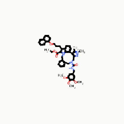 CCOC(=O)c1c(CCCOc2cccc3ccccc23)c2cccc3c2n1Cc1ccccc1CN(C(=O)NCc1cc(OC)c(OC)c(OC)c1)Cc1nn(C)c(C)c1-3